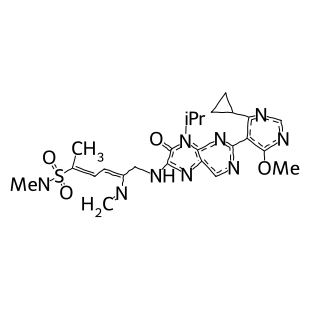 C=N/C(=C\C=C(/C)S(=O)(=O)NC)CNc1nc2cnc(-c3c(OC)ncnc3C3CC3)nc2n(C(C)C)c1=O